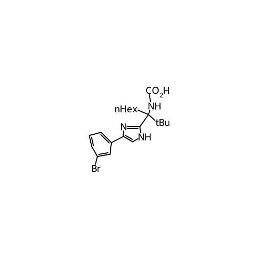 CCCCCCC(NC(=O)O)(c1nc(-c2cccc(Br)c2)c[nH]1)C(C)(C)C